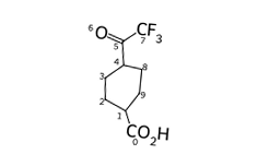 O=C(O)C1CCC(C(=O)C(F)(F)F)CC1